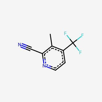 Cc1c(C(F)(F)F)ccnc1C#N